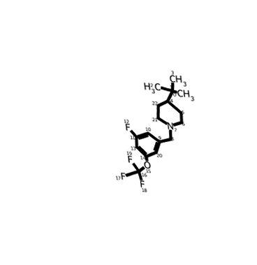 CC(C)(C)C1CCN(Cc2cc(F)cc(OC(F)(F)F)c2)CC1